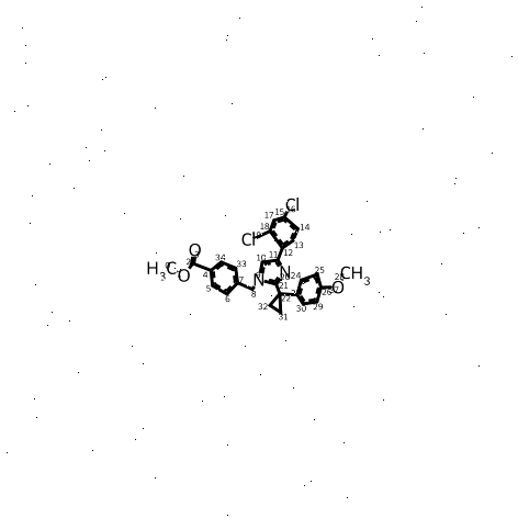 COC(=O)c1ccc(Cn2cc(-c3ccc(Cl)cc3Cl)nc2C2(c3ccc(OC)cc3)CC2)cc1